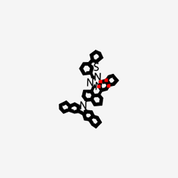 c1ccc(-c2nc(-c3cccc4c3sc3ccccc34)nc(-c3ccc(-n4c5cc6ccccc6cc5c5cc6ccccc6cc54)c4cccc(-c5ccccc5)c34)n2)cc1